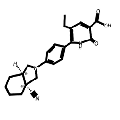 CCc1cc(C(=O)O)c(=O)[nH]c1-c1ccc(N2C[C@@H]3CCCC[C@]3(C#N)C2)cc1